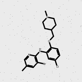 Cc1cnc(Nc2cc(Cl)ccc2OCC2CCN(C)CC2)c(Br)c1